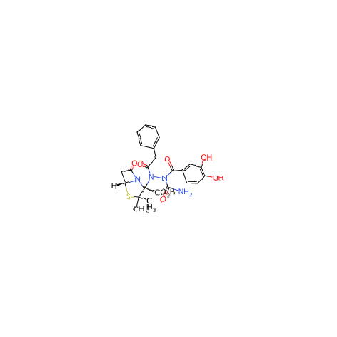 CC1(C)S[C@@H]2CC(=O)N2[C@]1(C(=O)O)N(C(=O)Cc1ccccc1)N(C(N)=O)C(=O)c1ccc(O)c(O)c1